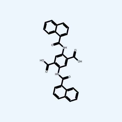 O=C(O)c1cc(NC(=O)c2cccc3ccccc23)c(C(=O)O)cc1NC(=O)c1cccc2ccccc12